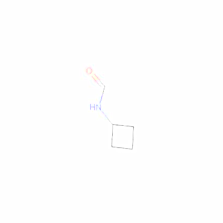 O=[C]NC1CCC1